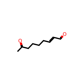 CC(=O)CCCCC=CC=O